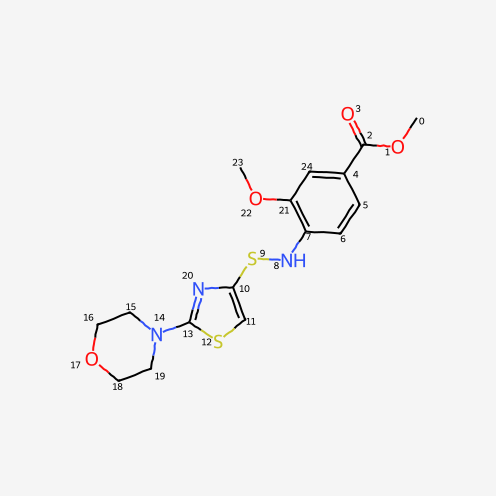 COC(=O)c1ccc(NSc2csc(N3CCOCC3)n2)c(OC)c1